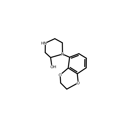 OC1CNCCN1c1cccc2c1OCCO2